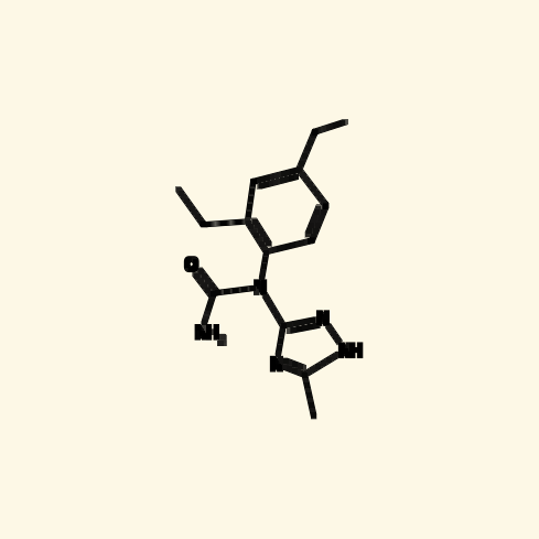 CCc1ccc(N(C(N)=O)c2n[nH]c(C)n2)c(CC)c1